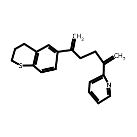 C=C(CCC(=C)c1ccccn1)c1ccc2c(c1)CCCS2